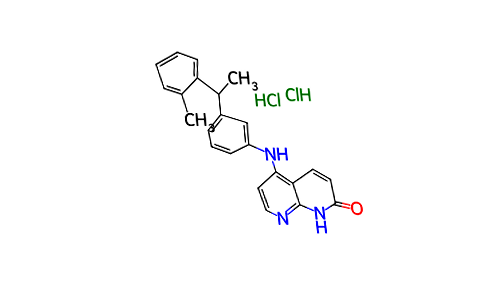 Cc1ccccc1C(C)c1cccc(Nc2ccnc3[nH]c(=O)ccc23)c1.Cl.Cl